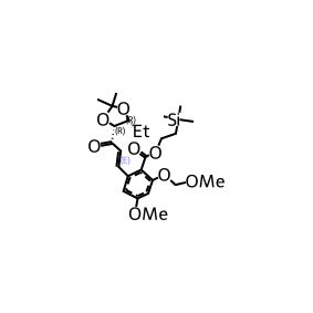 CC[C@H]1OC(C)(C)O[C@H]1C(=O)/C=C/c1cc(OC)cc(OCOC)c1C(=O)OCC[Si](C)(C)C